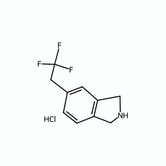 Cl.FC(F)(F)Cc1ccc2c(c1)CNC2